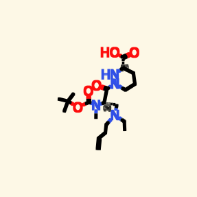 C=CCCN(CC)C[C@@H](C(=O)N1CCC[C@@H](C(=O)O)N1)N(C)C(=O)OC(C)(C)C